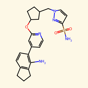 Nc1c(-c2ccnc(OC3CCC(Cn4ccc(S(N)(=O)=O)n4)C3)c2)ccc2c1CCC2